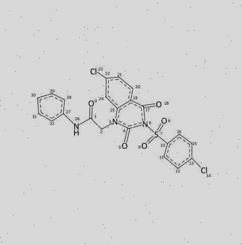 O=C(Cn1c(=O)n(S(=O)(=O)c2ccc(Cl)cc2)c(=O)c2ccc(Cl)cc21)Nc1ccccc1